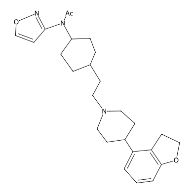 CC(=O)N(c1ccon1)C1CCC(CCN2CCC(c3cccc4c3CCO4)CC2)CC1